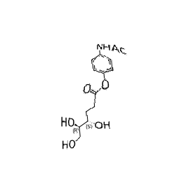 CC(=O)Nc1ccc(OC(=O)CC[C@H](O)[C@H](O)CO)cc1